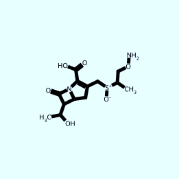 CC(O)C1C(=O)N2C(C(=O)O)=C(C[S+]([O-])C(C)CON)CC12